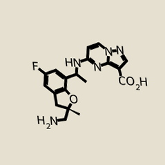 CC(Nc1ccn2ncc(C(=O)O)c2n1)c1cc(F)cc2c1O[C@](C)(CN)C2